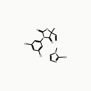 C=CC1(C)OC(=O)N(c2cc(Cl)cc(Cl)c2)C1=O.Cn1ccnc1S